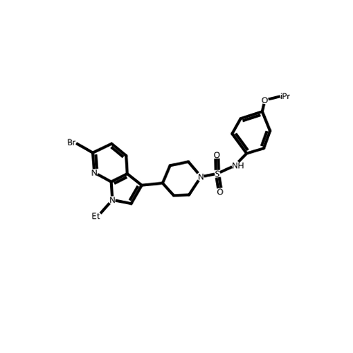 CCn1cc(C2CCN(S(=O)(=O)Nc3ccc(OC(C)C)cc3)CC2)c2ccc(Br)nc21